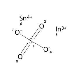 O=S(=O)([O-])[O-].[In+3].[Sn+4]